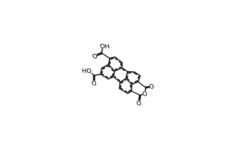 O=C(O)c1cc2c(C(=O)O)ccc3c4ccc5c6c(ccc(c(c1)c23)c64)C(=O)OC5=O